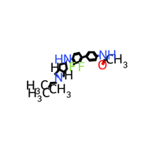 CC(=O)Nc1ccc(-c2ccc(N[C@H]3C[C@@H]4CN(CCC(C)(C)C)C[C@@H]4C3)c(F)c2F)cc1